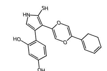 Oc1ccc(-c2c[nH]c(S)c2C2=COC(C3=CC=CCC3)=CO2)c(O)c1